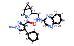 Cn1cc(-c2ccccc2)c(C(=O)N2CC3CC3C2CNc2cnc3ccccc3n2)n1